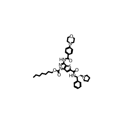 CCCCCCCOC(=O)n1nc(NC(=O)c2ccc(N3CCOCC3)cc2)c2sc(C(=O)N[C@H](CN3CCCC3)c3ccccc3)cc21